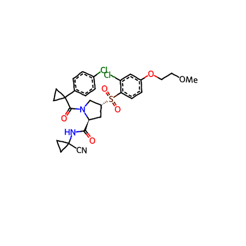 COCCOc1ccc(S(=O)(=O)[C@@H]2C[C@@H](C(=O)NC3(C#N)CC3)N(C(=O)C3(c4ccc(Cl)cc4)CC3)C2)c(Cl)c1